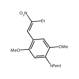 CCCCCc1cc(OC)c(/C=C(\CC)[N+](=O)[O-])cc1OC